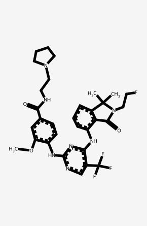 COc1cc(C(=O)NCCN2CCCC2)ccc1Nc1ncc(C(F)(F)F)c(Nc2cccc3c2C(=O)N(CCF)C3(C)C)n1